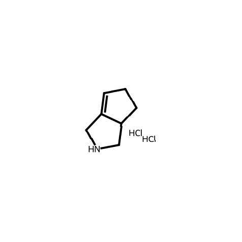 C1=C2CNCC2CC1.Cl.Cl